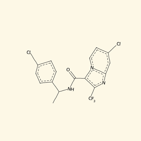 CC(NC(=O)c1c(C(F)(F)F)nc2cc(Cl)ccn12)c1ccc(Cl)cc1